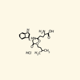 CC(C)CCOC(=O)[C@H](Cc1c[nH]c2ccccc12)NC(=O)CCC(N)C(=O)O.Cl